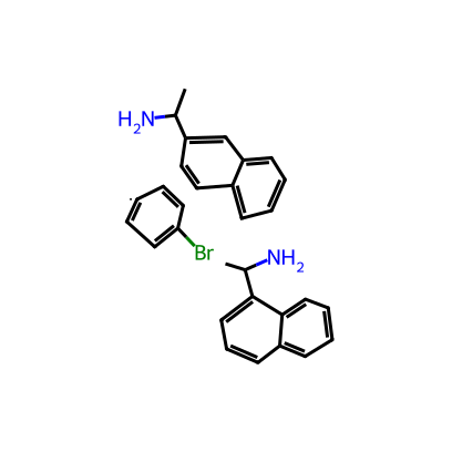 Brc1cc[c]cc1.CC(N)c1ccc2ccccc2c1.CC(N)c1cccc2ccccc12